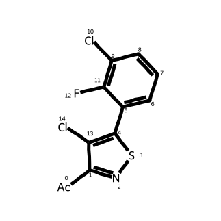 CC(=O)c1nsc(-c2cccc(Cl)c2F)c1Cl